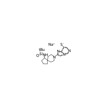 CC(C)(C)[S@@+]([O-])N[C@@H]1CCCC12CCN(c1cn3cncc([S-])c3n1)CC2.[Na+]